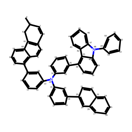 CC1C=Cc2ccc3c(-c4cccc(N(c5cccc(-c6ccc7ccccc7c6)c5)c5cccc(-c6cccc7c6c6ccccc6n7-c6ccccc6)c5)c4)cccc3c2C1